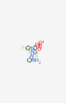 CCOC(=O)Oc1cn(-c2ccc(F)cc2F)c2nc(N3CC4C=CC=CC4(N)C3)c(F)cc2c1=O